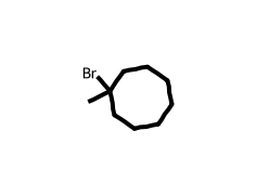 CC1(Br)CCCCCCC1